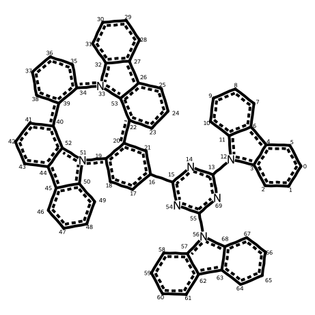 c1ccc2c(c1)c1ccccc1n2-c1nc(-c2ccc3c(c2)c2cccc4c5ccccc5n(c5ccccc5c5cccc6c7ccccc7n3c56)c42)nc(-n2c3ccccc3c3ccccc32)n1